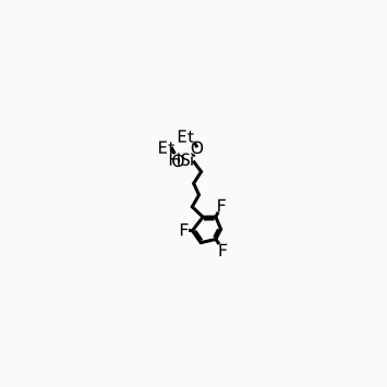 CCO[SiH](CCCCc1c(F)cc(F)cc1F)OCC